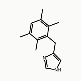 Cc1cc(C)c(C)c(Cc2c[nH]cn2)c1C